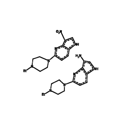 CCN1CCN(c2ccc3[nH]cc(N)c3n2)CC1.CCN1CCN(c2ccc3[nH]cc([N+](=O)[O-])c3n2)CC1